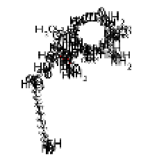 CCCC[C@H](NC(=O)[C@H](CN)NC(=O)[C@H](Cc1c[nH]cn1)NC(=O)[C@H](CCC(N)=O)NC(=O)[C@H](CO)NC(=O)CNC(=O)CCCS(=O)(=O)NC(=O)CCCCCCCCCCCCCCCc1nnn[nH]1)C(=O)N[C@H]1CCC(=O)NCCCC[C@@H](C(N)=O)NC(=O)[C@H](Cc2c[nH]c3ccccc23)NC(=O)[C@H](CCCNC(=N)N)NC(=O)[C@@H](Cc2ccccc2)NC(=O)[C@@H]2C[C@@H](O)CN2C1=O